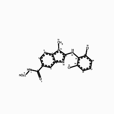 CCCCCCCCNC(=O)c1cnc2c(c1)nc(Nc1c(Cl)cccc1Cl)n2C